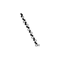 CCCOCCOCCOCCOCCOCCOCCOCCO